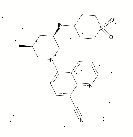 C[C@H]1C[C@@H](NC2CCS(=O)(=O)CC2)CN(c2ccc(C#N)c3ncccc23)C1